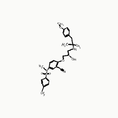 COc1ccc(CC(C)(C)NC[C@@H](O)COc2ccc(N(C)S(=O)(=O)c3ccc(C)cc3)cc2C#N)cc1